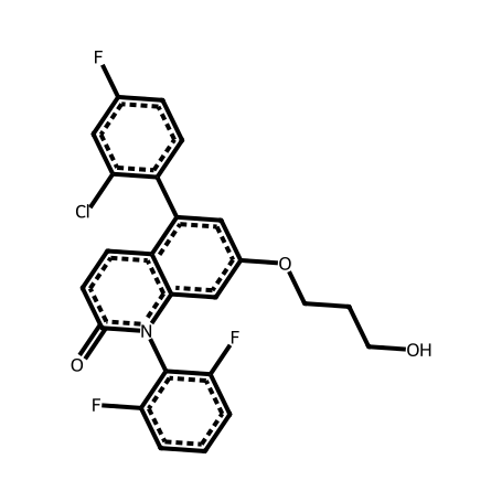 O=c1ccc2c(-c3ccc(F)cc3Cl)cc(OCCCO)cc2n1-c1c(F)cccc1F